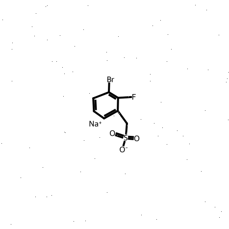 O=S(=O)([O-])Cc1cccc(Br)c1F.[Na+]